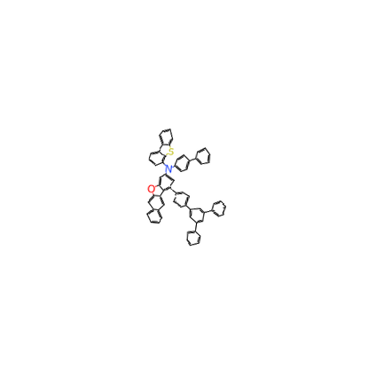 c1ccc(-c2ccc(N(c3cc(-c4ccc(-c5cc(-c6ccccc6)cc(-c6ccccc6)c5)cc4)c4c(c3)oc3cc5ccccc5cc34)c3cccc4c3sc3ccccc34)cc2)cc1